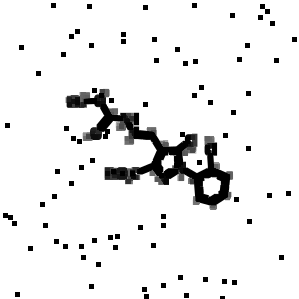 CCOC(=O)c1nn(-c2ccccc2Cl)c(Cl)c1/C=N/NC(=O)OC(C)(C)C